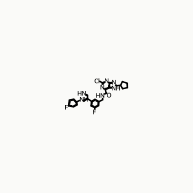 N=C/C(=C\Nc1ccc(F)cc1)c1cc(F)cc(CNC(=O)c2nc(Cl)nc3nc(C4CCCC4)[nH]c23)c1